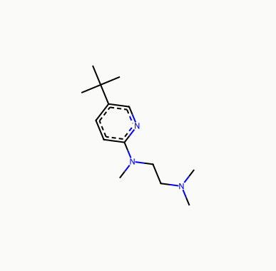 CN(C)CCN(C)c1ccc(C(C)(C)C)cn1